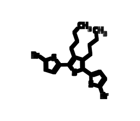 CCCCc1c(-c2ccc(Br)s2)sc(-c2ccc(Br)s2)c1CCCC